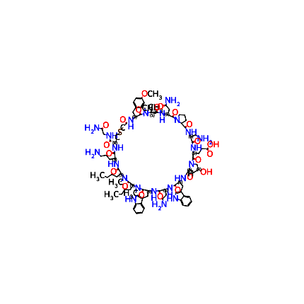 CCCC[C@H]1C(=O)N(C)[C@@H](CCCC)C(=O)N[C@@H](CCCN)C(=O)N[C@H](C(=O)NCC(N)=O)CSCC(=O)N[C@@H](Cc2ccc(OC)cc2)C(=O)N(C)[C@@H](C)C(=O)N[C@@H](CC(N)=O)C(=O)N2CCCC2C(=O)N[C@@H](CN)C(=O)N[C@@H](CCC(=O)O)C(=O)N2C[C@H](O)C[C@H]2C(=O)N[C@@H](Cc2c[nH]c3ccccc23)C(=O)N[C@@H](CCN)C(=O)N[C@@H](Cc2c[nH]c3ccccc23)C(=O)N1C